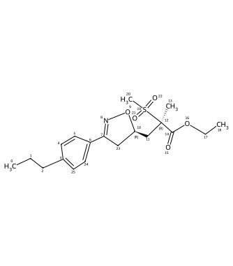 CCCc1ccc(C2=NO[C@@H](C[C@](C)(C(=O)OCC)S(C)(=O)=O)C2)cc1